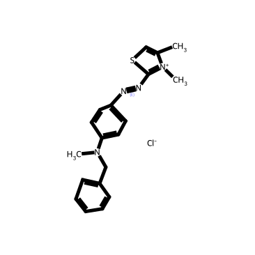 Cc1csc(/N=N/c2ccc(N(C)Cc3ccccc3)cc2)[n+]1C.[Cl-]